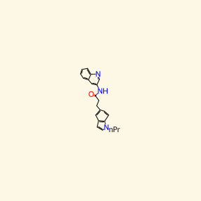 CCCn1ccc2cc(CCC(=O)Nc3cnc4ccccc4c3)ccc21